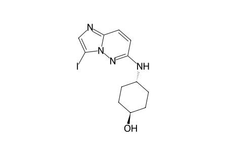 O[C@H]1CC[C@H](Nc2ccc3ncc(I)n3n2)CC1